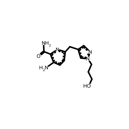 NC(=O)c1nc(Cc2cnn(CCCO)c2)ccc1N